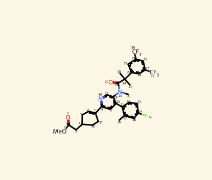 COC(=O)CC1CC=C(c2cc(-c3ccc(F)cc3C)c(N(C)C(=O)C(C)(C)c3cc(C(F)(F)F)cc(C(F)(F)F)c3)cn2)CC1